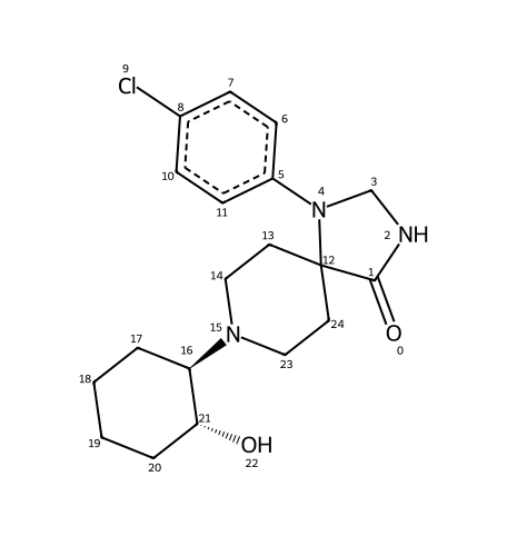 O=C1NCN(c2ccc(Cl)cc2)C12CCN([C@@H]1CCCC[C@H]1O)CC2